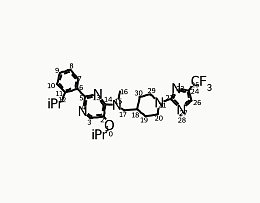 CC(C)Oc1cnc(-c2ccccc2C(C)C)nc1N(C)CC1CCN(c2nc(C(F)(F)F)cn2C)CC1